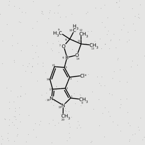 Cc1c2c(Cl)c(B3OC(C)(C)C(C)(C)O3)ccc2nn1C